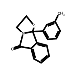 Cc1cccc(C23SCCN2C(=O)c2ccccc23)c1